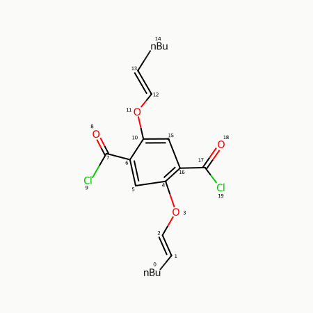 CCCCC=COc1cc(C(=O)Cl)c(OC=CCCCC)cc1C(=O)Cl